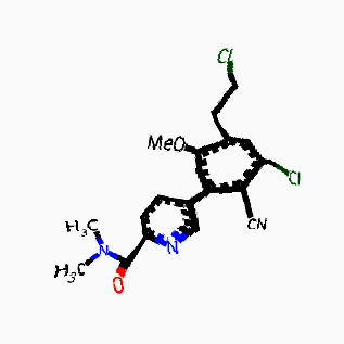 COc1c(CCCl)cc(Cl)c(C#N)c1-c1ccc(C(=O)N(C)C)nc1